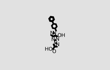 O=C(O)c1cnn(-c2nc(O)c3c(cnn3CC3CCC(c4ccccc4)CC3)n2)c1